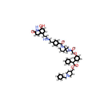 O=C(OCC1CCN(Cc2ccccc2)CC1)C(c1ccccc1)c1cccc(OCC(=O)N2CC3(CCCN(C(=O)c4ccc(CCNCCc5ccc(O)c6[nH]c(=O)ccc56)cc4)C3)C2)c1